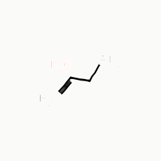 C=C[CH2][AlH2].O